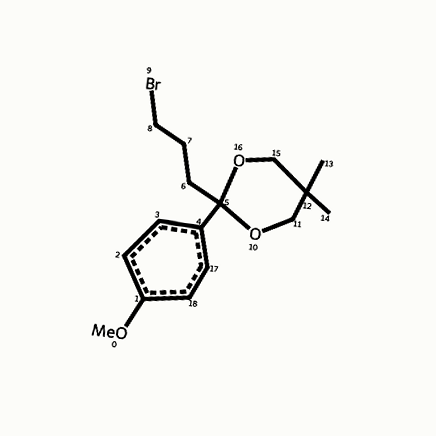 COc1ccc(C2(CCCBr)OCC(C)(C)CO2)cc1